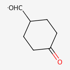 O=[C]C1CCC(=O)CC1